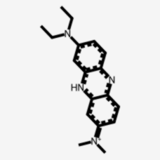 CCN(CC)c1ccc2nc3ccc(=[N+](C)C)cc-3[nH]c2c1